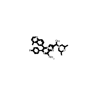 Cc1ccnc2ccc(-c3c(-c4ccc(F)cc4)nc(N)c4nc(C(O)N5CC(C)OC(C)C5)cn34)cc12